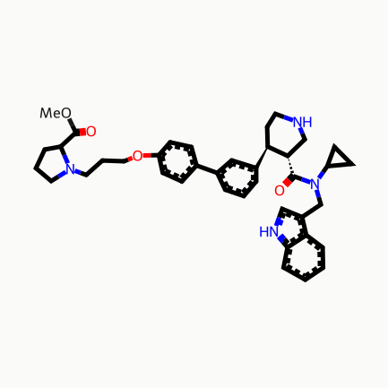 COC(=O)C1CCCN1CCCOc1ccc(-c2cccc([C@H]3CCNC[C@@H]3C(=O)N(Cc3c[nH]c4ccccc34)C3CC3)c2)cc1